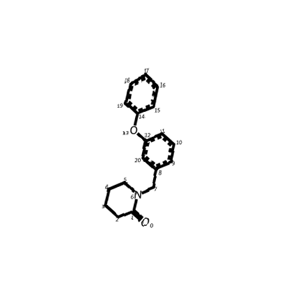 O=C1CCCCN1Cc1cccc(Oc2ccccc2)c1